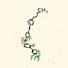 CCCCCc1ccc(C#Cc2ccc(C(F)(F)Oc3ccc(-c4cc(F)c(C(F)(F)F)c(F)c4)c(F)c3)c(F)c2)nc1